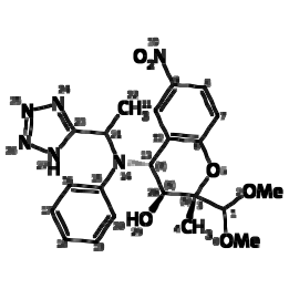 COC(OC)[C@@]1(C)Oc2ccc([N+](=O)[O-])cc2[C@@H](N(c2ccccc2)C(C)c2nnn[nH]2)[C@@H]1O